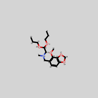 CCCOC(CN(C)Cc1ccc2c(c1OC)OCO2)OCCC